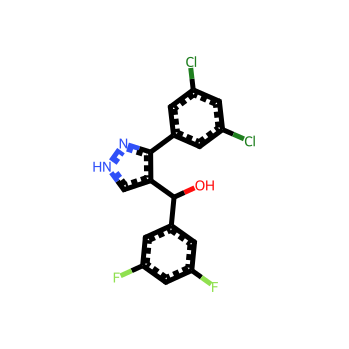 OC(c1cc(F)cc(F)c1)c1c[nH]nc1-c1cc(Cl)cc(Cl)c1